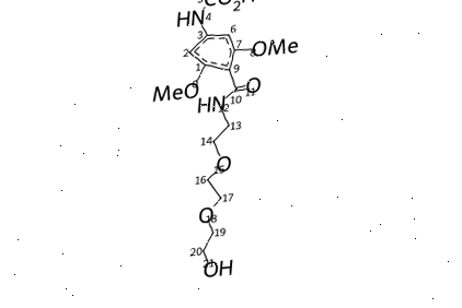 COc1cc(NC(=O)O)cc(OC)c1C(=O)NCCOCCOCCO